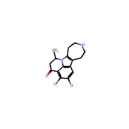 CC1CC(=O)c2c(Cl)c(Cl)cc3c4c(n1c23)CCNCC4